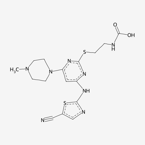 CN1CCN(c2cc(Nc3ncc(C#N)s3)nc(SCCNC(=O)O)n2)CC1